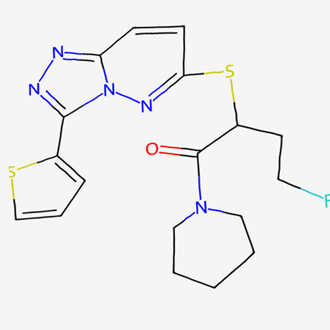 O=C(C(CCF)Sc1ccc2nnc(-c3cccs3)n2n1)N1CCCCC1